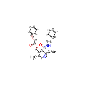 CNc1ncc(C)c(COC(=O)COc2ccccc2)c1C(=O)NCCc1ccccc1